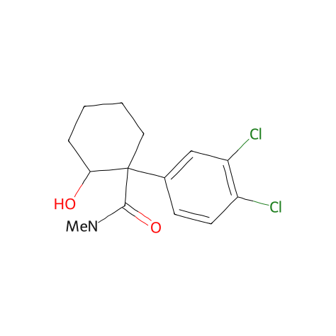 CNC(=O)C1(c2ccc(Cl)c(Cl)c2)CCCCC1O